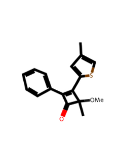 COC1(C)C(=O)C(c2ccccc2)=C1c1cc(C)cs1